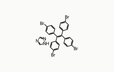 Brc1ccc(C(=C(c2ccc(Br)cc2)c2ccc(Br)cc2)c2ccc(Br)cc2)cc1.c1nc[nH]n1